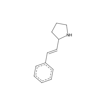 C(=CC1CCCN1)c1ccccc1